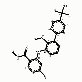 CNC(=O)c1nnc(Cl)cc1Nc1cccc(-c2cnc(C(C)(C)O)cn2)c1OC